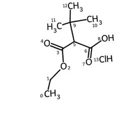 CCOC(=O)C(C(=O)O)C(C)(C)C.Cl